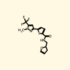 Cn1nc(-c2ccc(C(=O)NCC3CC=CO3)s2)cc1C(F)(F)F